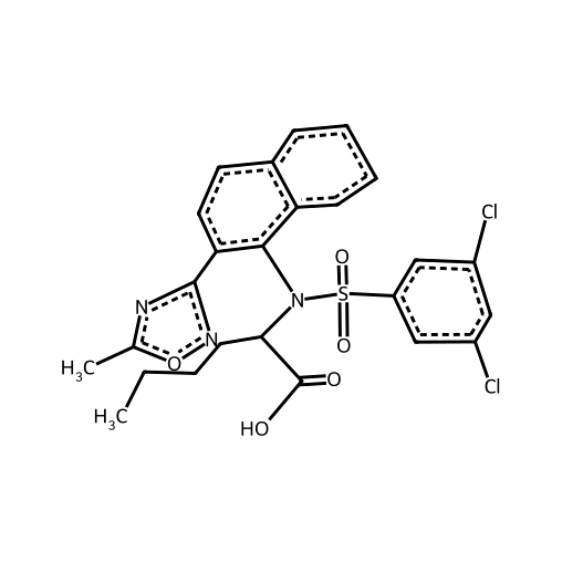 CCCCC(C(=O)O)N(c1c(-c2noc(C)n2)ccc2ccccc12)S(=O)(=O)c1cc(Cl)cc(Cl)c1